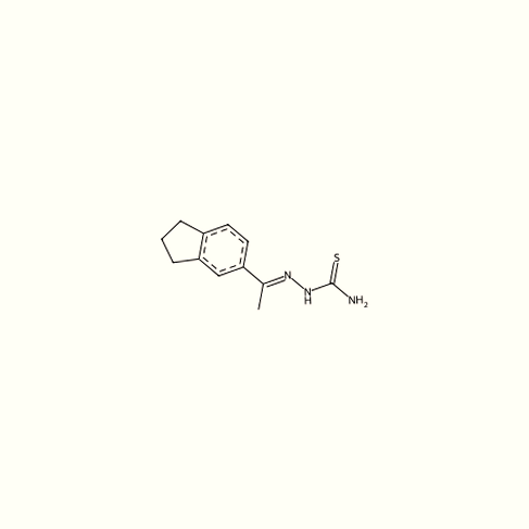 CC(=NNC(N)=S)c1ccc2c(c1)CCC2